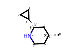 C[C@@H]1CCN[C@H](C2CC2)C1